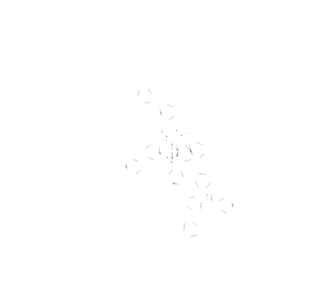 CC1(C)c2ccccc2-c2cc(C3N=C(c4ccc(-c5ccccc5)cc4-n4c5ccccc5c5c(-c6cccc7c6c6ccc(-c8ccccc8)cc6n7-c6ccccc6)cccc54)NC(c4ccccc4)N3)ccc21